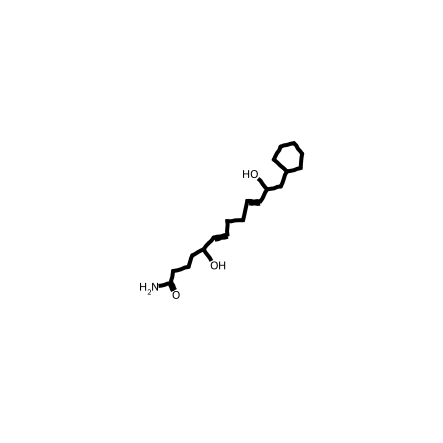 NC(=O)CCCC(O)C=CCCC=CC(O)CC1CCCCC1